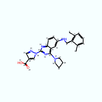 Cc1cccc(C)c1CNc1ccc2nc(-n3cc(C(=O)O)cn3)nc(N3CCCC3)c2c1